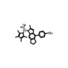 CC1=Cc2c(cc3c(c2-c2ccc(C(C)(C)C)cc2)CCC3)[CH]1[Hf]([CH]1C(C)=C(C)C(C)=C1C)[SiH](C)C